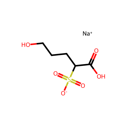 O=C(O)C(CCCO)S(=O)(=O)[O-].[Na+]